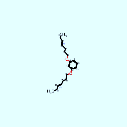 CC/C=C/CCCOc1[c]ccc(OCCC/C=C/CC)c1